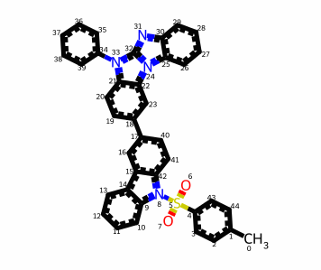 Cc1ccc(S(=O)(=O)n2c3ccccc3c3cc(-c4ccc5c(c4)n4c6ccccc6nc4n5-c4ccccc4)ccc32)cc1